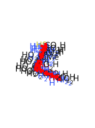 CC(C)C[C@H](N)C(=O)O.CC(C)[C@H](N)C(=O)O.CC[C@H](C)[C@H](N)C(=O)O.CSCC[C@H](N)C(=O)O.C[C@@H](O)[C@H](N)C(=O)O.C[C@H](N)C(=O)O.N=C(N)NCCC[C@H](N)C(=O)O.NC(=O)C[C@H](N)C(=O)O.NCC(=O)O.NCCCC[C@H](N)C(=O)O.N[C@@H](CO)C(=O)O.N[C@@H](CS)C(=O)O.N[C@@H](Cc1c[nH]cn1)C(=O)O.N[C@@H](Cc1ccc(O)cc1)C(=O)O.N[C@@H](Cc1ccccc1)C(=O)O.O=C(O)[C@@H]1CCCN1